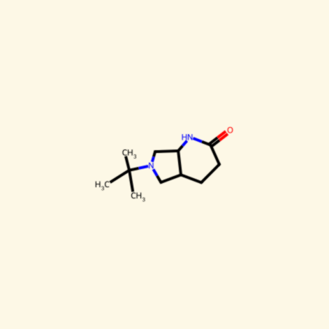 CC(C)(C)N1CC2CCC(=O)NC2C1